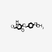 COc1ccc(COc2c[nH]c(C=O)cc2=O)cc1